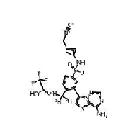 O=C(O)C(F)(F)F.[2H]C([2H])([2H])c1ccc(S(=O)(=O)NC23CC(C[N+]#[C-])(C2)C3)cc1-c1cnc2c(N)ncnn12